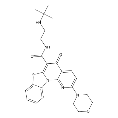 CC(C)(C)NCCNC(=O)c1c(=O)c2ccc(N3CCOCC3)nc2n2c1sc1ccccc12